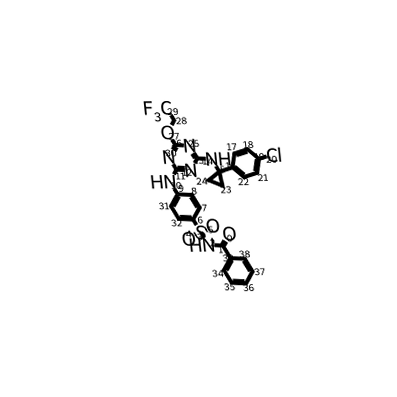 O=C(NS(=O)(=O)c1ccc(Nc2nc(NC3(c4ccc(Cl)cc4)CC3)nc(OCC(F)(F)F)n2)cc1)c1ccccc1